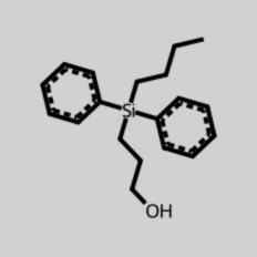 CCCC[Si](CCCO)(c1ccccc1)c1ccccc1